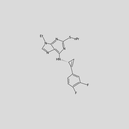 CCCSc1nc(N[C@@H]2C=C2c2ccc(F)c(F)c2)c2ncn(CC)c2n1